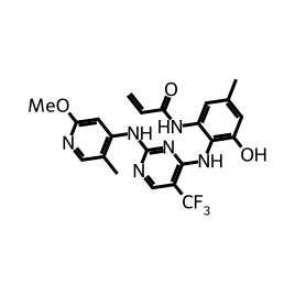 C=CC(=O)Nc1cc(C)cc(O)c1Nc1nc(Nc2cc(OC)ncc2C)ncc1C(F)(F)F